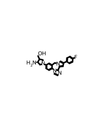 N[C@@H]1CN(c2ccc3c(c2)Cn2cc(-c4ccc(F)cc4)cc2-c2nccn2-3)CC1CO